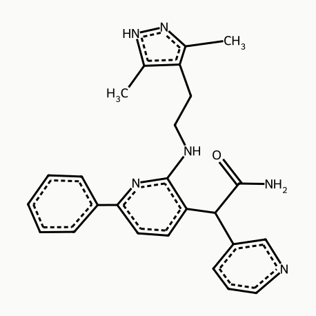 Cc1n[nH]c(C)c1CCNc1nc(-c2ccccc2)ccc1C(C(N)=O)c1cccnc1